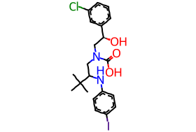 CC(C)(C)C(CN(C[C@H](O)c1cccc(Cl)c1)C(=O)O)Nc1ccc(I)cc1